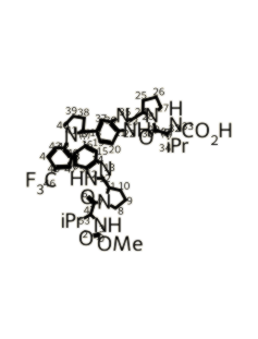 COC(=O)NC(C(=O)N1CCCC1c1nc2cc([C@@]3(c4ccc5[nH]c(C6CCCN6C(=O)[C@@H](NC(=O)O)C(C)C)nc5c4)CCCN3c3ccc(C(F)(F)F)cc3)ccc2[nH]1)C(C)C